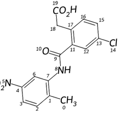 Cc1ccc([N+](=O)[O-])cc1NC(=O)c1cc(Cl)ccc1CC(=O)O